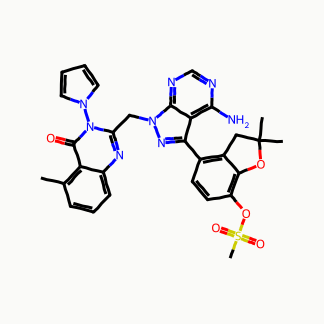 Cc1cccc2nc(Cn3nc(-c4ccc(OS(C)(=O)=O)c5c4CC(C)(C)O5)c4c(N)ncnc43)n(-n3cccc3)c(=O)c12